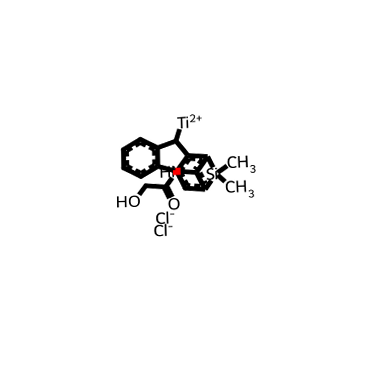 C[Si]1(C)c2cc3c(c1c2NC(=O)CO)[CH]([Ti+2])c1ccccc1-3.[Cl-].[Cl-]